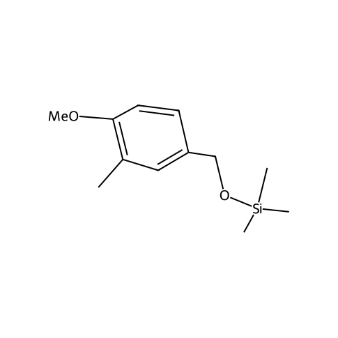 COc1ccc(CO[Si](C)(C)C)cc1C